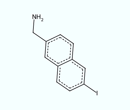 NCc1ccc2cc(I)ccc2c1